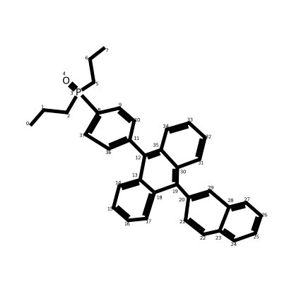 CCCP(=O)(CCC)c1ccc(-c2c3ccccc3c(-c3ccc4ccccc4c3)c3ccccc23)cc1